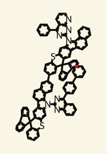 c1ccc(-c2ccc(-c3nc(-n4c5cc6c(cc5c5ccc7cc(-c8ccc9c(c8)C8(c%10cc%11c%12ccc%13ccccc%13c%12n(-c%12nc(-c%13ccccc%13)c%13cccnc%13n%12)c%11cc%10S9)c9ccccc9-c9ccccc98)ccc7c54)C4(c5ccccc5S6)c5ccccc5-c5ccccc54)nc4ccccc34)cc2)cc1